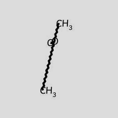 CCCCCCCCC=CCCCCCCCCCCCC(=O)OCCCCCCCC